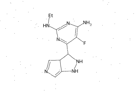 CCNc1nc(N)c(F)c(C2NNC3=CN=CC32)n1